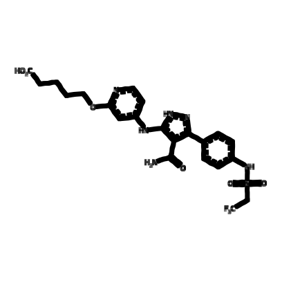 NC(=O)c1c(-c2ccc(NS(=O)(=O)CC(F)(F)F)cc2)n[nH]c1Nc1ccnc(OCCCCC(=O)O)c1